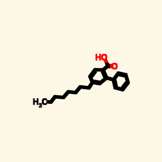 CCCCCCCCc1ccc(C(=O)O)c(-c2ccccc2)c1